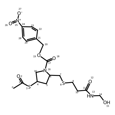 CC(=O)SC1CC(CSCCC(=O)NCO)N(C(=O)OCc2ccc([N+](=O)[O-])cc2)C1